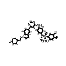 CN1CCC(CCn2ccc3cc(-c4cc(Nc5ccc(N(OC=O)S(=O)(=O)c6ccc(F)c(Cl)c6)cc5)ncn4)ccc32)CC1